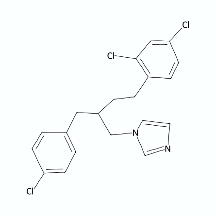 Clc1ccc(CC(CCc2ccc(Cl)cc2Cl)Cn2ccnc2)cc1